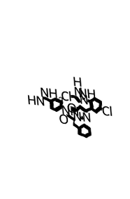 N=C(N)c1ccc(NC(=O)[C@H](Cc2ccccc2)n2cnc(-c3cc(Cl)ccc3N3C=C(Cl)NN3)cc2=O)cc1